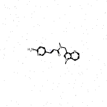 CN(Cc1cn(C)c2cccnc12)C(=O)/C=C/c1ccc(N)nc1